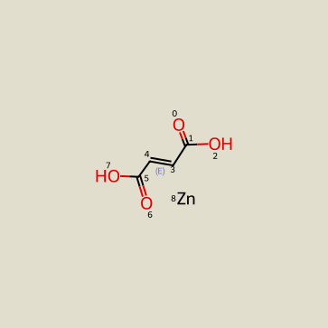 O=C(O)/C=C/C(=O)O.[Zn]